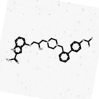 NC(=O)c1cc2c(OCC(O)CN3CCN(Cc4ccccc4-c4ccc(OC(F)F)cc4)CC3)cccc2[nH]1